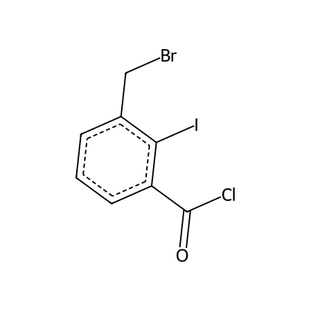 O=C(Cl)c1cccc(CBr)c1I